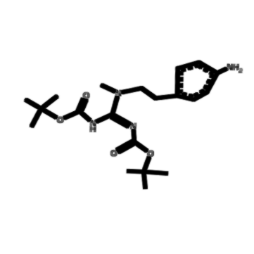 CN(CCc1ccc(N)cc1)C(=NC(=O)OC(C)(C)C)NC(=O)OC(C)(C)C